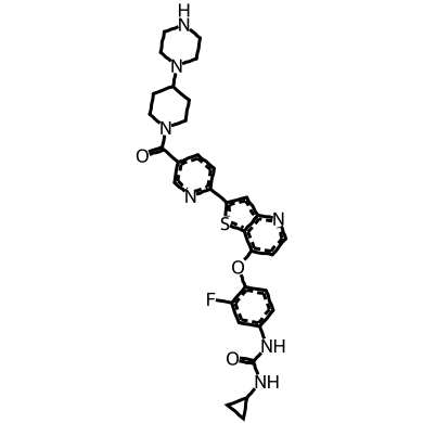 O=C(Nc1ccc(Oc2ccnc3cc(-c4ccc(C(=O)N5CCC(N6CCNCC6)CC5)cn4)sc23)c(F)c1)NC1CC1